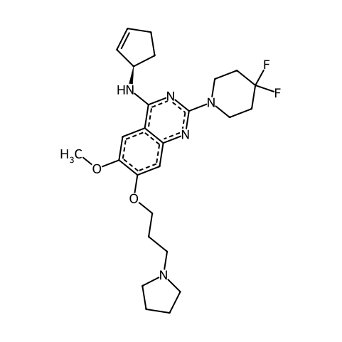 COc1cc2c(N[C@H]3C=CCC3)nc(N3CCC(F)(F)CC3)nc2cc1OCCCN1CCCC1